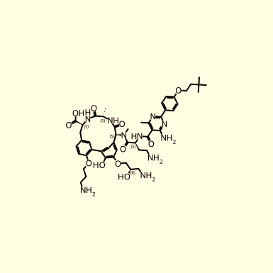 Cc1nc(-c2ccc(OCCC(C)(C)C)cc2)nc(N)c1C(=O)N[C@@H](CCN)C(=O)N(C)[C@@H]1C(=O)N[C@@H](C)C(=O)N[C@H](C(=O)O)Cc2ccc(OCCCN)c(c2)-c2cc1cc(OC[C@H](O)CN)c2O